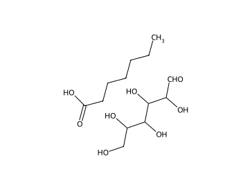 CCCCCCC(=O)O.O=CC(O)C(O)C(O)C(O)CO